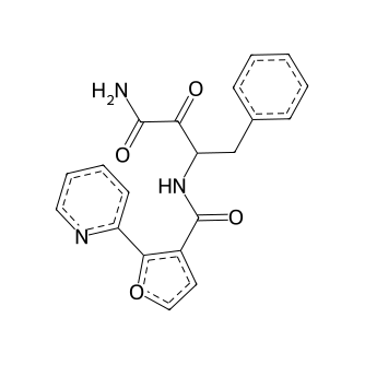 NC(=O)C(=O)C(Cc1ccccc1)NC(=O)c1ccoc1-c1ccccn1